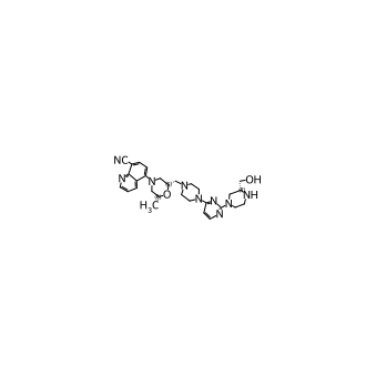 C[C@@H]1CN(c2ccc(C#N)c3ncccc23)C[C@H](CN2CCN(c3ccnc(N4CCN[C@@H](CO)C4)n3)CC2)O1